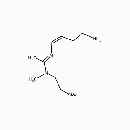 CSCCN(C)/C(C)=N/C=C\CCN